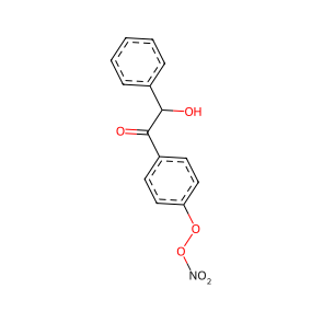 O=C(c1ccc(OO[N+](=O)[O-])cc1)C(O)c1ccccc1